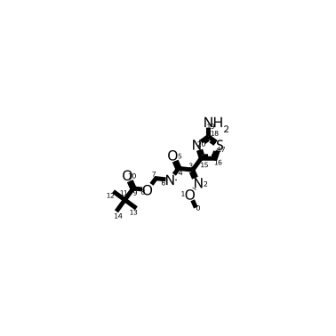 CON=C(C(=O)[N]COC(=O)C(C)(C)C)c1csc(N)n1